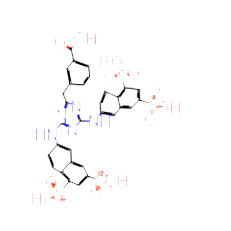 O=C(O)c1cccc(Cc2nc(Nc3ccc4c(S(=O)(=O)O)cc(S(=O)(=O)O)cc4c3)nc(Nc3ccc4c(S(=O)(=O)O)cc(S(=O)(=O)O)cc4c3)n2)c1